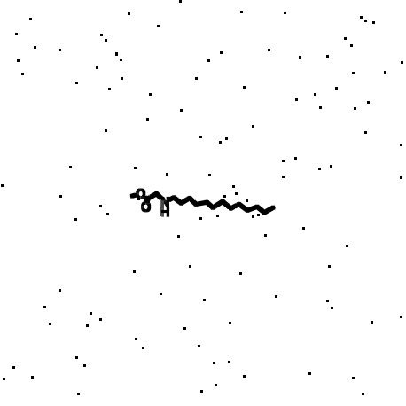 CCCCCCCCCCCCCNCC(=O)OC